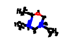 C=C1OCN(C)CN1C